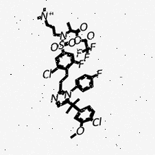 COc1cc(C(C)(C)c2cnc(CCc3c(F)cc(S(=O)(=O)N(CCC[N+](C)(C)C)C(C)C(=O)OC(=O)C(F)(F)F)cc3Cl)n2-c2ccc(F)cc2)ccc1Cl